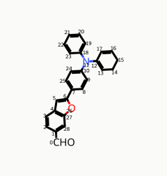 O=Cc1ccc2cc(-c3ccc(N(C4=CCCC=C4)c4ccccc4)cc3)oc2c1